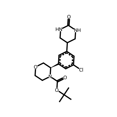 CC(C)(C)OC(=O)N1CCOC[C@H]1c1cc(Cl)cc(C2CNC(=O)NC2)c1